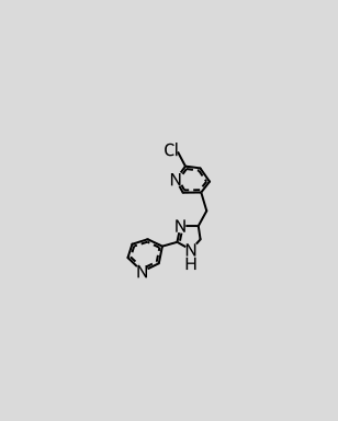 Clc1ccc(CC2CNC(c3cccnc3)=N2)cn1